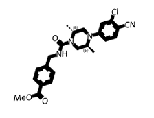 COC(=O)c1ccc(CNC(=O)N2C[C@H](C)N(c3ccc(C#N)c(Cl)c3)C[C@H]2C)cc1